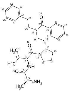 CC(C)[C@H](NC(=O)[C@H](C)N)C(=O)N1CCC[C@H]1CCN(CCc1ccccc1)C(=O)c1ccccc1